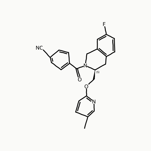 Cc1ccc(OC[C@@H]2Cc3ccc(F)cc3CN2C(=O)c2ccc(C#N)cc2)nc1